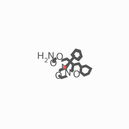 N#CC(CCOC(N)=O)(c1ccccc1)C(CC1CCCCC1)C(=O)N1CCOCC1